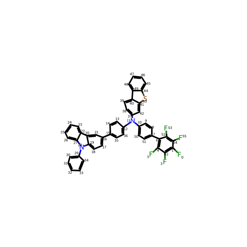 Fc1c(F)c(F)c(-c2ccc(N(c3ccc(-c4ccc5c(c4)c4ccccc4n5-c4ccccc4)cc3)c3ccc4c(c3)sc3ccccc34)cc2)c(F)c1F